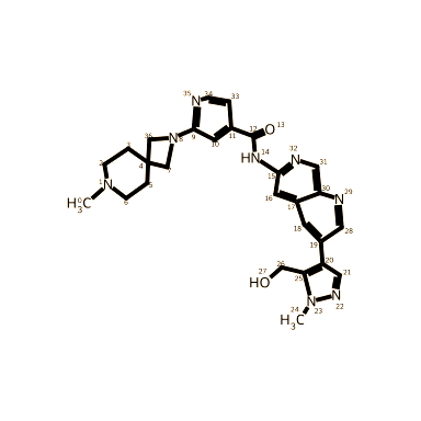 CN1CCC2(CC1)CN(c1cc(C(=O)Nc3cc4cc(-c5cnn(C)c5CO)cnc4cn3)ccn1)C2